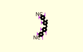 Cc1cc(Cc2cc(I)c(-c3cc(I)c(C#N)c(I)c3)c(I)c2)cc(I)c1-c1cc(I)c(C#N)c(I)c1